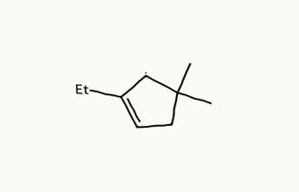 CCC1=CCC(C)(C)[CH]1